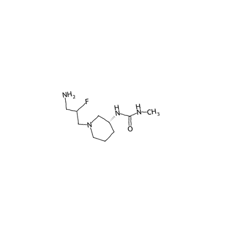 CNC(=O)N[C@@H]1CCCN(CC(F)CN)C1